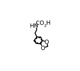 O=C(O)NCCc1ccc2c(c1)OCO2